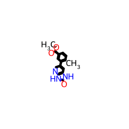 COC(=O)c1ccc(C)c(-c2cnc3[nH]c(=O)[nH]c3c2)c1